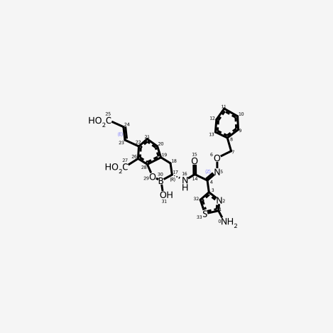 Nc1nc(/C(=N/OCc2ccccc2)C(=O)N[C@H]2Cc3ccc(/C=C/C(=O)O)c(C(=O)O)c3OB2O)cs1